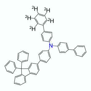 [2H]c1c([2H])c([2H])c(-c2ccc(N(c3ccc(-c4ccccc4)cc3)c3ccc(-c4ccc5c(c4)C(c4ccccc4)(c4ccccc4)c4ccccc4-5)cc3)cc2)c([2H])c1[2H]